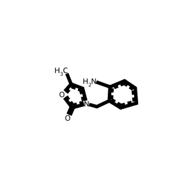 Cc1cn(Cc2ccccc2N)c(=O)o1